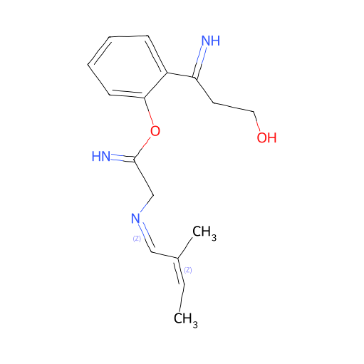 C/C=C(C)\C=N/CC(=N)Oc1ccccc1C(=N)CCO